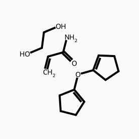 C1=C(OC2=CCCC2)CCC1.C=CC(N)=O.OCCO